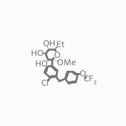 CC[C@H]1O[C@@](OC)(c2ccc(Cl)c(Cc3ccc(OC(F)(F)F)cc3)c2)[C@H](O)[C@@H](O)[C@@H]1O